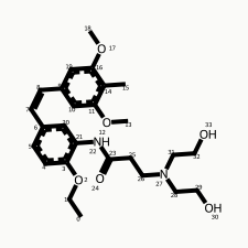 CCOc1ccc(/C=C\c2cc(OC)c(C)c(OC)c2)cc1NC(=O)CCN(CCO)CCO